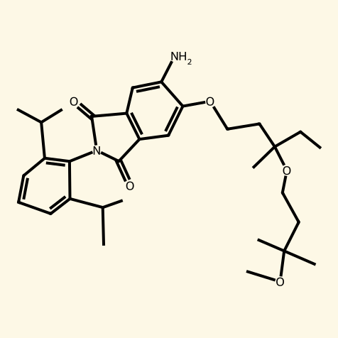 CCC(C)(CCOc1cc2c(cc1N)C(=O)N(c1c(C(C)C)cccc1C(C)C)C2=O)OCCC(C)(C)OC